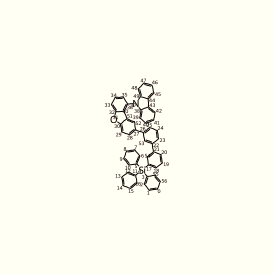 c1ccc([Si](c2ccccc2)(c2ccccc2)c2cccc(-c3cccc(-c4ccc5oc6cccc(-n7c8ccccc8c8ccccc87)c6c5c4)c3)c2)cc1